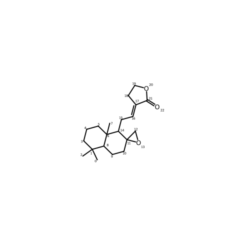 CC1(C)CCCC2(C)C1CCC1(CO1)C2CC=C1CCOC1=O